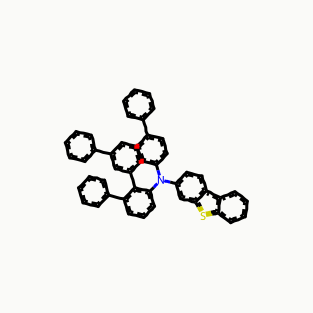 c1ccc(-c2ccc(N(c3ccc4c(c3)sc3ccccc34)c3cccc(-c4ccccc4)c3-c3cccc(-c4ccccc4)c3)cc2)cc1